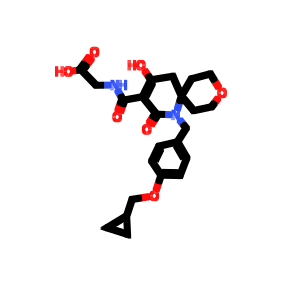 O=C(O)CNC(=O)C1=C(O)CC2(CCOCC2)N(Cc2ccc(OCC3CC3)cc2)C1=O